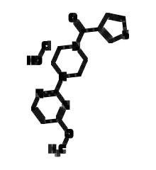 COc1ccnc(N2CCN(C(=O)c3ccsc3)CC2)n1.OCl